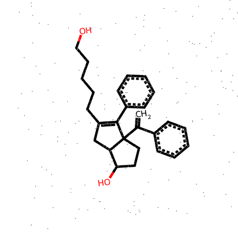 C=C(c1ccccc1)C12CCC(O)C1CC(CCCCCO)=C2c1ccccc1